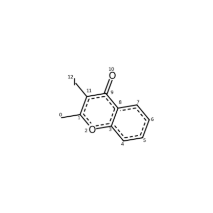 Cc1oc2ccccc2c(=O)c1I